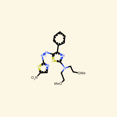 COCCN(CCOC)c1nc(-c2ccccc2)c(/N=N\c2ncc([N+](=O)[O-])s2)s1